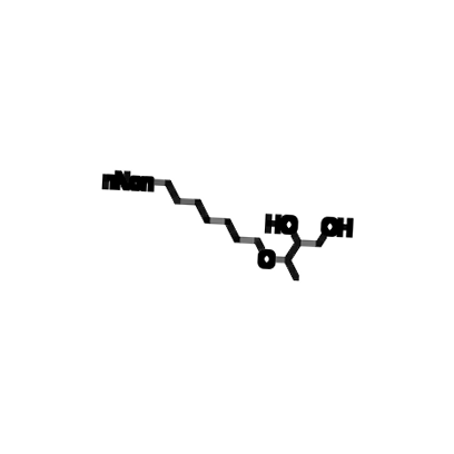 CCCCCCCCCCCCCCCCOC(C)C(O)CO